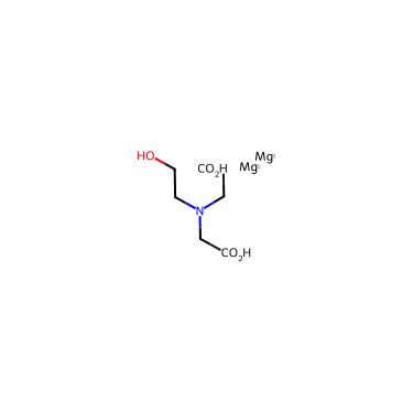 O=C(O)CN(CCO)CC(=O)O.[Mg].[Mg]